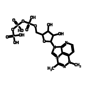 CC1=NN(C)c2ccnc3c2[n+]1cn3C1OC(COP(=O)(O)OP(=O)(O)OP(=O)(O)O)C(O)C1O